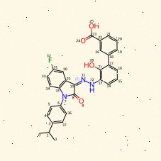 CC(C)c1ccc(N2C(=O)/C(=N\Nc3cccc(-c4cccc(C(=O)O)c4)c3O)c3cc(F)ccc32)cc1